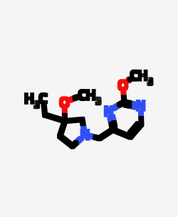 CCC1(OC)CCN(Cc2ccnc(OC)n2)C1